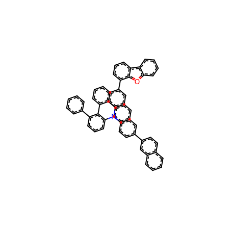 c1ccc(-c2ccccc2-c2c(-c3ccccc3)cccc2N(c2ccc(-c3ccc4ccccc4c3)cc2)c2ccc(-c3cccc4c3oc3ccccc34)cc2)cc1